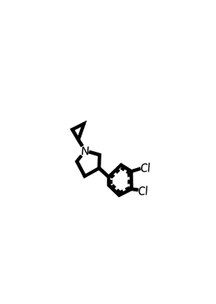 Clc1ccc(C2CCN(C3CC3)C2)cc1Cl